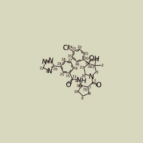 CC1(C)CN(C(=O)[C@H]2CCC[C@H]2NC(=O)c2cccc(C3=NCN=N3)c2)CC[C@]1(O)c1ccc(Cl)cc1